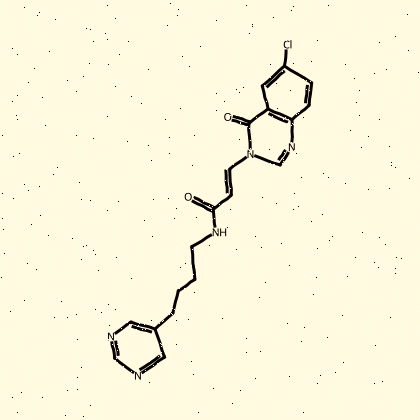 O=C(C=Cn1cnc2ccc(Cl)cc2c1=O)NCCCCc1cncnc1